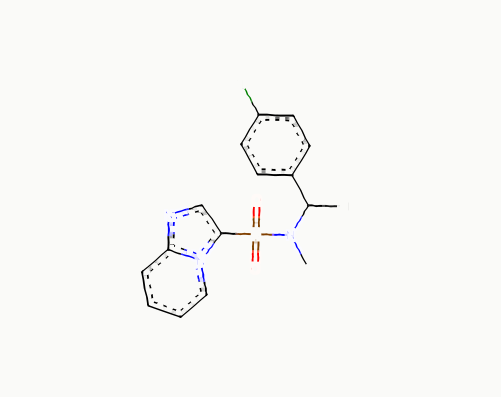 CN(C(c1ccc(Cl)cc1)C(F)(F)F)S(=O)(=O)c1cnc2ccccn12